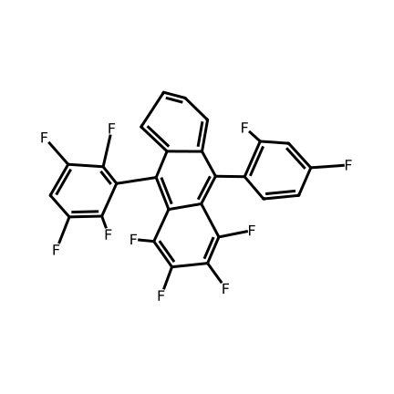 Fc1ccc(-c2c3ccccc3c(-c3c(F)c(F)cc(F)c3F)c3c(F)c(F)c(F)c(F)c23)c(F)c1